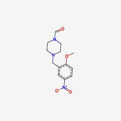 COc1ccc([N+](=O)[O-])cc1CN1CCN(C=O)CC1